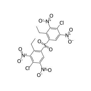 CCc1c(S(=O)(=O)c2cc([N+](=O)[O-])c(Cl)c([N+](=O)[O-])c2CC)cc([N+](=O)[O-])c(Cl)c1[N+](=O)[O-]